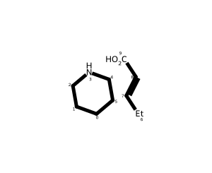 C1CCNCC1.CCC=CC(=O)O